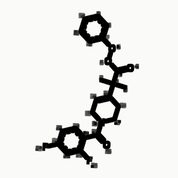 CC(C)(C(=O)OOc1ccccc1)C1=CCN(C(=O)c2ccc(F)cc2F)CC1